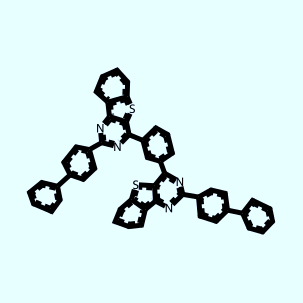 c1ccc(-c2ccc(-c3nc(-c4cccc(-c5nc(-c6ccc(-c7ccccc7)cc6)nc6c5sc5ccccc56)c4)c4sc5ccccc5c4n3)cc2)cc1